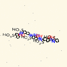 Nc1c(N=Nc2ccc3cc(S(=O)(=O)O)c(N=Nc4ccc(S(=O)(=O)O)c5ccccc45)c(O)c3c2)c(S(=O)(=O)O)cc2ccc(N=Nc3ccc4c(O)c(N=Nc5ccccc5S(=O)(=O)O)ccc4c3S(=O)(=O)O)c(O)c12